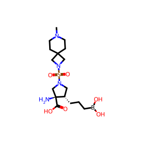 CN1CCC2(CC1)CN(S(=O)(=O)N1C[C@H](CCCB(O)O)[C@](N)(C(=O)O)C1)C2